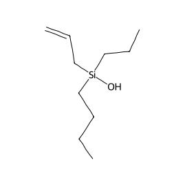 C=CC[Si](O)(CCC)CCCC